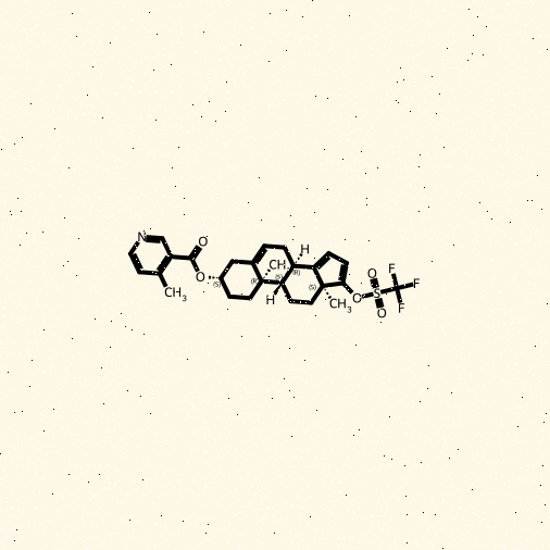 Cc1ccncc1C(=O)O[C@H]1CC[C@@]2(C)C(=CC[C@H]3C4=CC=C(OS(=O)(=O)C(F)(F)F)[C@@]4(C)CC[C@@H]32)C1